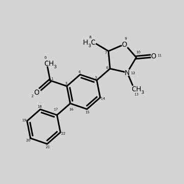 CC(=O)c1cc(C2C(C)OC(=O)N2C)ccc1-c1ccccc1